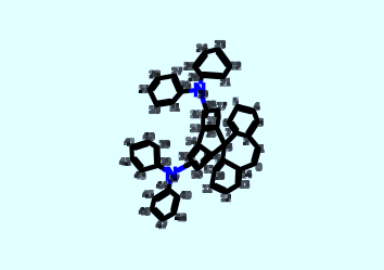 C1=Cc2ccccc2C2(c3ccccc31)c1ccc(N(c3ccccc3)c3ccccc3)cc1-c1cc(N(c3ccccc3)c3ccccc3)ccc12